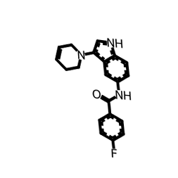 O=C(Nc1ccc2[nH]cc(N3CC=CCC3)c2c1)c1ccc(F)cc1